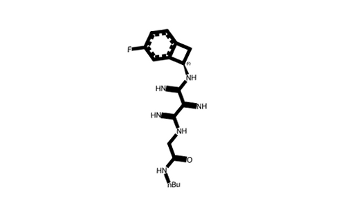 CCCCNC(=O)CNC(=N)C(=N)C(=N)N[C@@H]1Cc2ccc(F)cc21